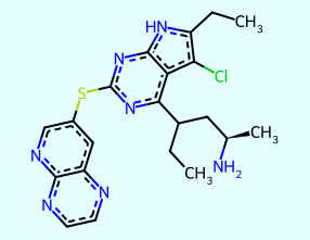 CCc1[nH]c2nc(Sc3cnc4nccnc4c3)nc(C(CC)C[C@@H](C)N)c2c1Cl